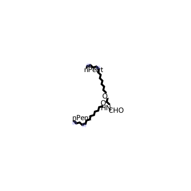 CCCCC/C=C\C/C=C\CCCCCCCCOCC(CNC=O)OCCCCCCCC/C=C\C/C=C\CCCCC